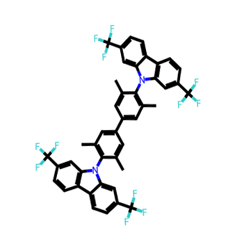 Cc1cc(-c2cc(C)c(-n3c4cc(C(F)(F)F)ccc4c4ccc(C(F)(F)F)cc43)c(C)c2)cc(C)c1-n1c2cc(C(F)(F)F)ccc2c2ccc(C(F)(F)F)cc21